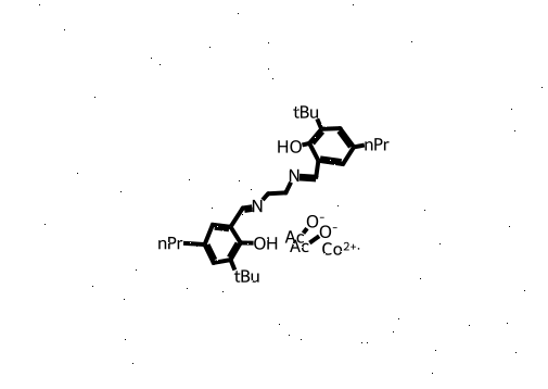 CC(=O)[O-].CC(=O)[O-].CCCc1cc(C=NCCN=Cc2cc(CCC)cc(C(C)(C)C)c2O)c(O)c(C(C)(C)C)c1.[Co+2]